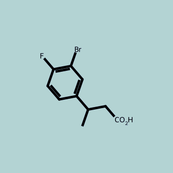 CC(CC(=O)O)c1ccc(F)c(Br)c1